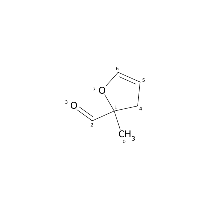 CC1(C=O)CC=CO1